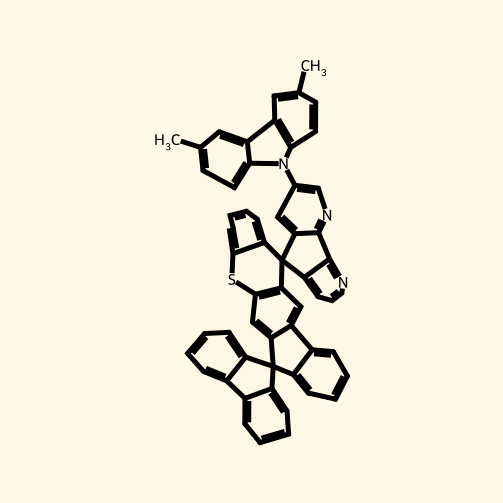 Cc1ccc2c(c1)c1cc(C)ccc1n2-c1cnc2c(c1)C1(c3ccccc3Sc3cc4c(cc31)-c1ccccc1C41c3ccccc3-c3ccccc31)c1cccnc1-2